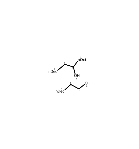 CCCCCCCCCCCC(O)CCCCCCCC.CCCCCCCCCCCCO